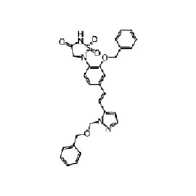 O=C1CN(c2ccc(C=Cc3ccnn3COCc3ccccc3)cc2OCc2ccccc2)S(=O)(=O)N1